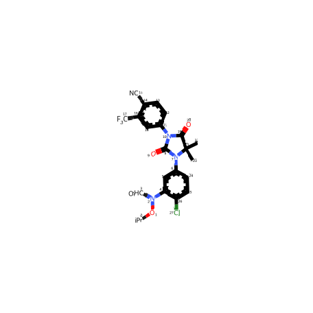 CC(C)ON(C=O)c1cc(N2C(=O)N(c3ccc(C#N)c(C(F)(F)F)c3)C(=O)C2(C)C)ccc1Cl